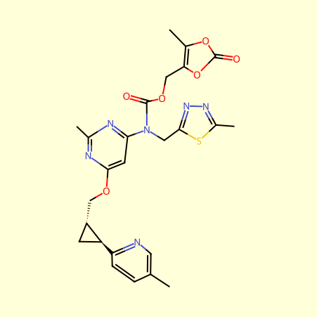 Cc1ccc([C@H]2C[C@@H]2COc2cc(N(Cc3nnc(C)s3)C(=O)OCc3oc(=O)oc3C)nc(C)n2)nc1